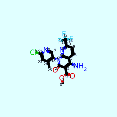 COC(=O)c1c(N)c2ccc(C(F)(F)F)nc2n(-c2cnc(Cl)cc2C)c1=O